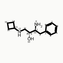 N[C@@H](Cc1ccccc1)[C@H](O)CNC1CCC1